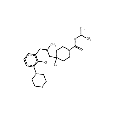 CCC1(CN(C)Cc2cccc(N3CCOCC3)c2Cl)CCN(C(=O)OC(C(F)(F)F)C(F)(F)F)CC1